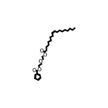 CCCCCCCC/C=C\CCCCCCCC(=O)OCCOCCOC(=O)c1ccccc1